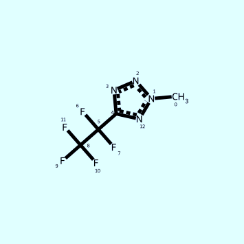 Cn1nnc(C(F)(F)C(F)(F)F)n1